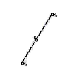 CCCCCCCC/C=C/CCCCCCCCCCCC(=O)OCCCCCCCCCCCCCCCCCCCC